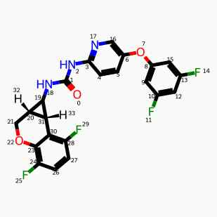 O=C(Nc1ccc(Oc2cc(F)cc(F)c2)cn1)NC1[C@H]2COc3c(F)ccc(F)c3[C@@H]12